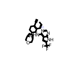 C#CC1=C(/C=C\C)[C@H](Nc2ncnc3[nH]c(C(F)(F)F)cc23)[C@@H](N2C3CCC2COC3)CC1